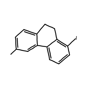 Cc1ccc2c(c1)-c1cccc(I)c1CC2